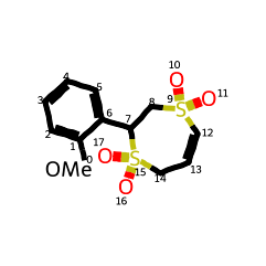 COc1ccccc1C1CS(=O)(=O)C=CCS1(=O)=O